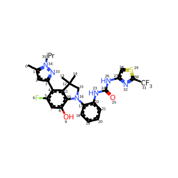 Cc1cc(-c2c(F)cc(O)c3c2C(C)(C)CN3c2ccccc2NC(=O)Nc2csc(C(F)(F)F)n2)nn1C(C)C